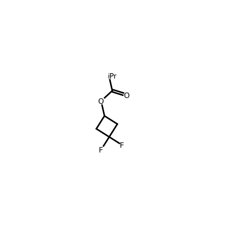 CC(C)C(=O)OC1CC(F)(F)C1